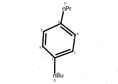 CCCCc1[c]cc(CCC)cc1